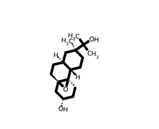 CC(C)(O)[C@@]1(C)CC[C@H]2[C@@H](CC[C@@]34C[C@@H](O)CC[C@@]23O4)C1